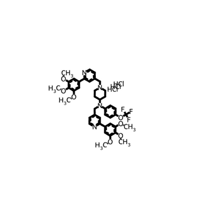 COc1cc(-c2cc(CN3CCC(N(Cc4ccnc(-c5cc(OC)c(OC)c(OC)c5)c4)c4ccc(OC(F)(F)F)cc4)CC3)ccn2)cc(OC)c1OC.Cl.Cl.Cl